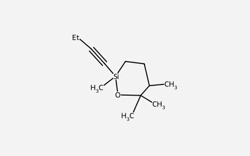 CCC#C[Si]1(C)CCC(C)C(C)(C)O1